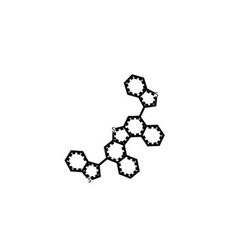 c1ccc2c(-c3cc4sc5cc(-c6csc7ccccc67)c6ccccc6c5c4c4ccccc34)csc2c1